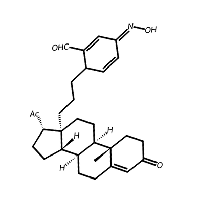 CC(=O)[C@H]1CC[C@H]2[C@@H]3CCC4=CC(=O)CC[C@@]4(C)[C@@H]3CC[C@]12CCCC1C=C/C(=N\O)C=C1C=O